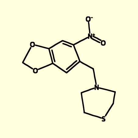 O=[N+]([O-])c1cc2c(cc1CN1CCSCC1)OCO2